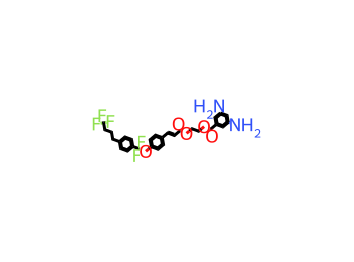 Nc1cc(N)cc(C(=O)OCCOC(=O)/C=C/c2ccc(OC(F)(F)c3ccc(CCCC(F)(F)F)cc3)cc2)c1